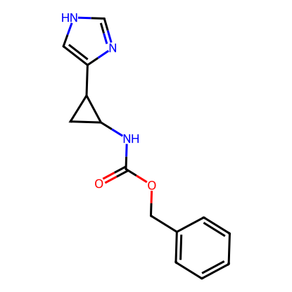 O=C(NC1CC1c1c[nH]cn1)OCc1ccccc1